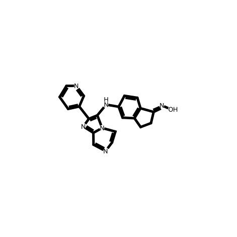 O/N=C1\CCc2cc(Nc3c(-c4cccnc4)nc4cnccn34)ccc21